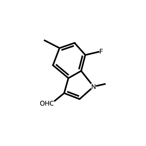 Cc1cc(F)c2c(c1)c(C=O)cn2C